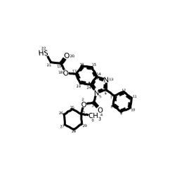 CC1(OC(=O)n2c(-c3ccccc3)nc3ccc(OC(=O)CS)cc32)CCCCC1